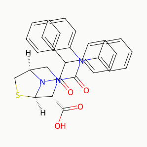 O=C(O)[C@@H]1[C@H]2SC[C@@H](CN1C(=O)N(c1ccccc1)c1ccccc1)N2C(=O)C(c1ccccc1)c1ccccc1